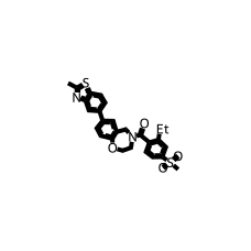 CCc1cc(S(C)(=O)=O)ccc1C(=O)N1CCOc2ccc(-c3ccc4sc(C)nc4c3)cc2C1